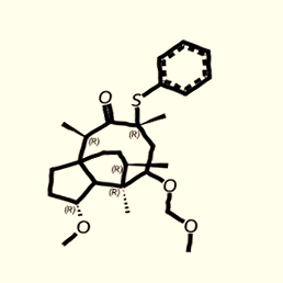 COCOC1C[C@@](C)(Sc2ccccc2)C(=O)[C@H](C)C23CC[C@@H](C)[C@]1(C)C2[C@H](OC)CC3